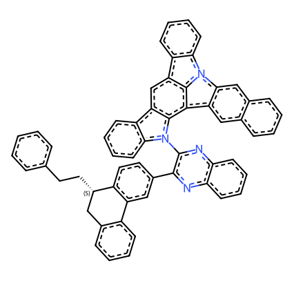 c1ccc(CC[C@H]2Cc3ccccc3-c3cc(-c4nc5ccccc5nc4-n4c5ccccc5c5cc6c7ccccc7n7c8cc9ccccc9cc8c(c54)c67)ccc32)cc1